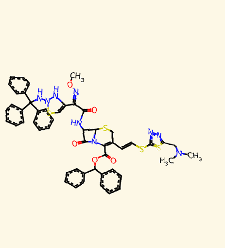 CO/N=C(/C(=O)NC1C(=O)N2C(C(=O)OC(c3ccccc3)c3ccccc3)=C(/C=C/Sc3nnc(CN(C)C)s3)CSC12)C1=CSN(NC(c2ccccc2)(c2ccccc2)c2ccccc2)N1